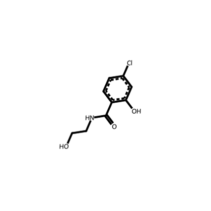 O=C(NCCO)c1ccc(Cl)cc1O